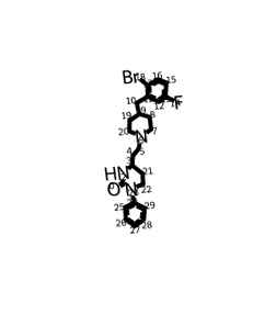 O=C1NC(CCN2CCC(Cc3cc(F)ccc3Br)CC2)CCN1c1ccccc1